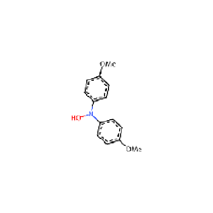 COc1ccc(N(O)c2ccc(OC)cc2)cc1